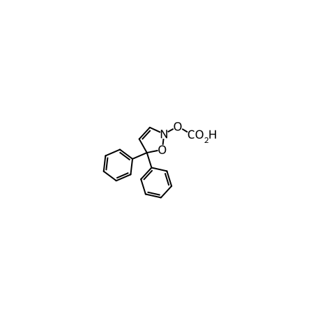 O=C(O)ON1C=CC(c2ccccc2)(c2ccccc2)O1